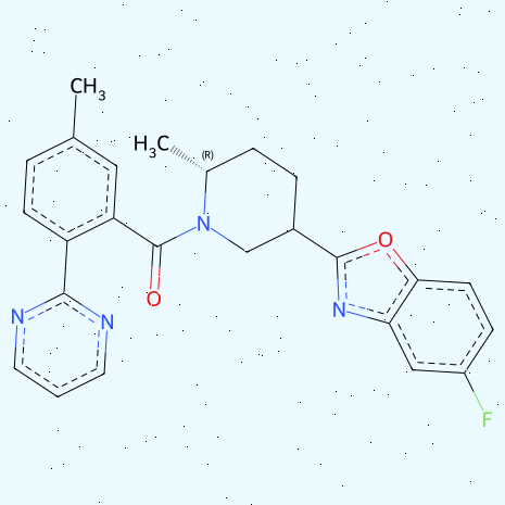 Cc1ccc(-c2ncccn2)c(C(=O)N2CC(c3nc4cc(F)ccc4o3)CC[C@H]2C)c1